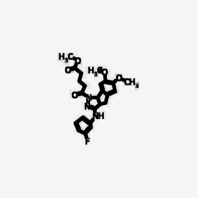 COC(=O)CCCC(=O)N1N=C(Nc2cccc(F)c2)C2Cc3cc(OC)c(OC)cc3C21